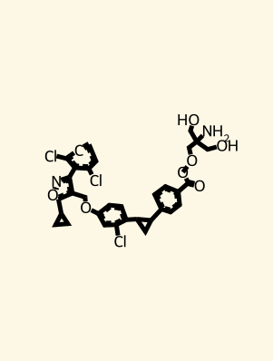 NC(CO)(CO)COOC(=O)c1ccc(C2CC2c2ccc(OCc3c(-c4c(Cl)cccc4Cl)noc3C3CC3)cc2Cl)cc1